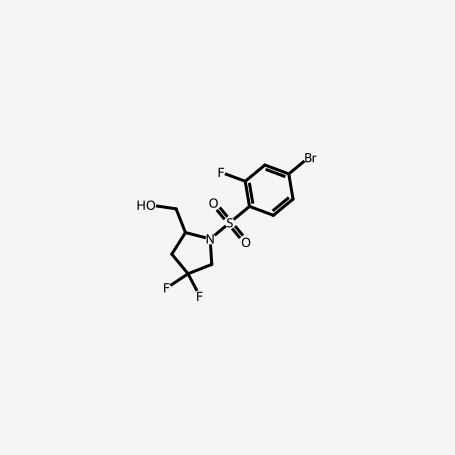 O=S(=O)(c1ccc(Br)cc1F)N1CC(F)(F)CC1CO